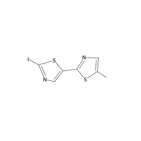 Cc1cnc(-c2cnc(I)s2)s1